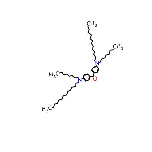 CCCCCCCCCCCCCCN(CCCCCCCC)c1ccc(C(=O)c2ccc(N(CCCCCCCC)CCCCCCCCCCCCCC)cc2)cc1